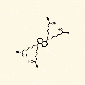 C#CC(O)CCCCCN(CCCCCC(O)C#C)c1cccc2c(N(CCCCCC(O)C#C)CCCCCC(O)C#C)cccc12